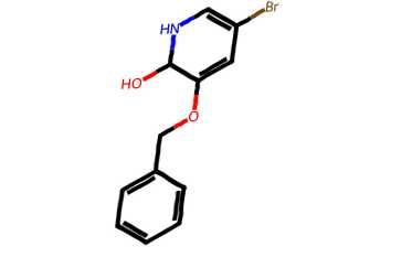 OC1NC=C(Br)C=C1OCc1ccccc1